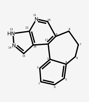 c1ccc2c(c1)CCCc1cnc3[nH]ncc3c1-2